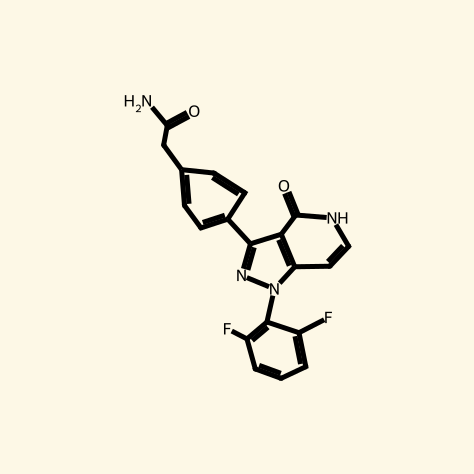 NC(=O)Cc1ccc(-c2nn(-c3c(F)cccc3F)c3cc[nH]c(=O)c23)cc1